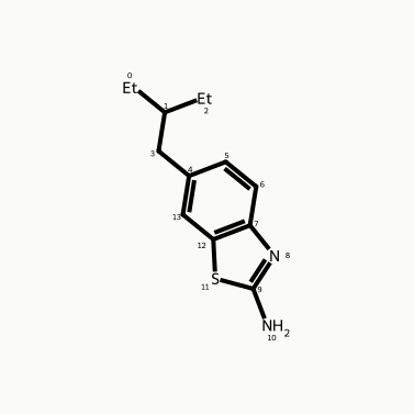 CCC(CC)Cc1ccc2nc(N)sc2c1